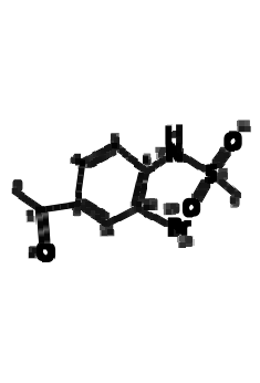 CC(=O)c1ccc(NS(C)(=O)=O)c(Br)c1